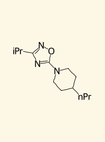 CCCC1CCN(c2nc(C(C)C)no2)CC1